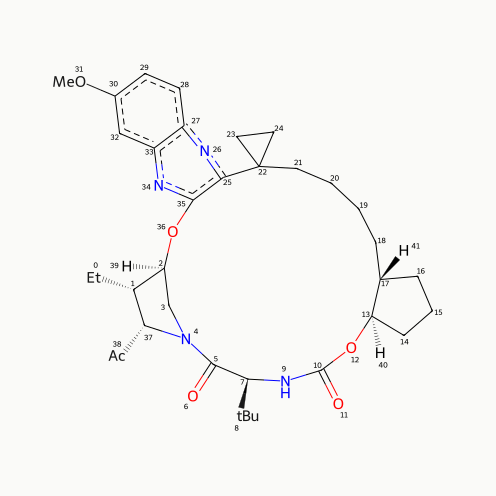 CC[C@@H]1[C@@H]2CN(C(=O)[C@H](C(C)(C)C)NC(=O)O[C@@H]3CCC[C@H]3CCCCC3(CC3)c3nc4ccc(OC)cc4nc3O2)[C@@H]1C(C)=O